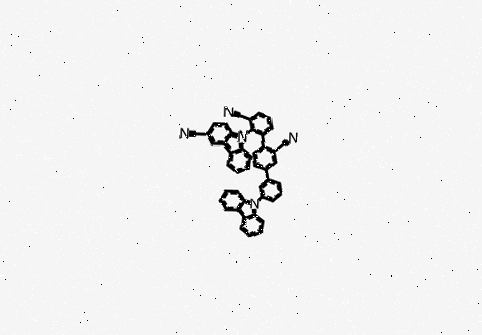 N#Cc1ccc2c(c1)c1ccccc1n2-c1c(C#N)cccc1-c1ccc(-c2cccc(-n3c4ccccc4c4ccccc43)c2)cc1C#N